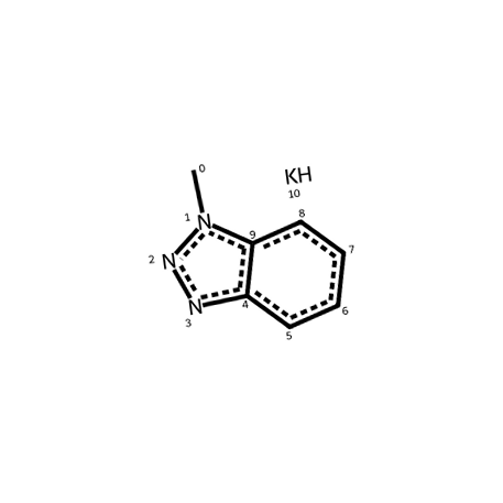 Cn1nnc2ccccc21.[KH]